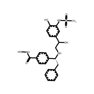 CS(=O)(=O)Nc1cc(C(O)CN[C@H](Cc2ccccc2)c2ccc(C(=O)NO)cc2)ccc1O